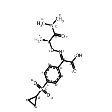 C[C@H](O/N=C(/C(=O)O)c1ccc(S(=O)(=O)C2CC2)cc1)C(=O)N(C)C